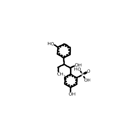 CCC(c1cccc(O)c1)C(O)c1ccc(O)cc1P(=O)(O)O